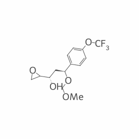 COCO[C@@H](C[C@H](O)C1CO1)c1ccc(OC(F)(F)F)cc1